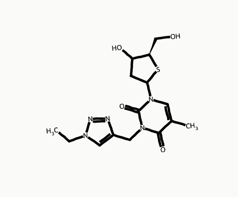 CCn1cc(Cn2c(=O)c(C)cn(C3CC(O)[C@@H](CO)S3)c2=O)nn1